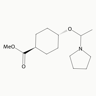 COC(=O)[C@H]1CC[C@H](OC(C)N2CCCC2)CC1